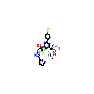 CC(C)(O)c1cc([C@@](O)(Cn2cc(-c3ccccn3)nn2)C(F)(F)F)nc(-c2ccc(F)cc2)c1F